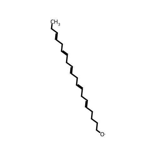 CC/C=C/C/C=C/C/C=C/C/C=C/C/C=C/CCCC[O]